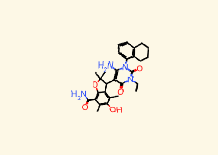 CCn1c(=O)c(C2c3c(C)c(O)c(C)c(C(N)=O)c3OC2(C)C)c(N)n(-c2cccc3c2CCCC3)c1=O